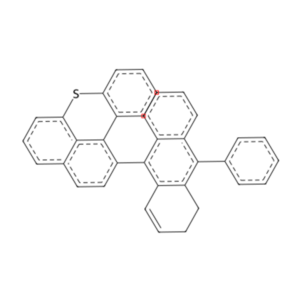 C1=Cc2c(c(-c3ccccc3)c3ccccc3c2-c2ccc3cccc4c3c2-c2ccccc2S4)CC1